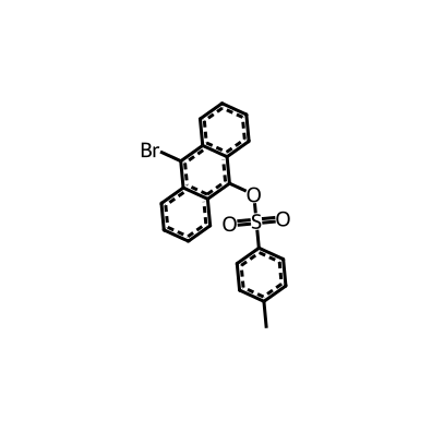 Cc1ccc(S(=O)(=O)Oc2c3ccccc3c(Br)c3ccccc23)cc1